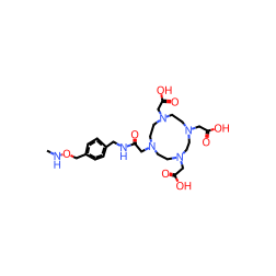 CNOCc1ccc(CNC(=O)CN2CCN(CC(=O)O)CCN(CC(=O)O)CCN(CC(=O)O)CC2)cc1